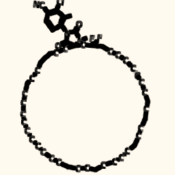 Cc1c(N2C(=O)N(C)C3(CCCCCCCCCCCCCCCCCCCCCCCCCCCCCCCCCCCCCCCC(F)(F)C3)C2=O)ccc(C#N)c1Cl